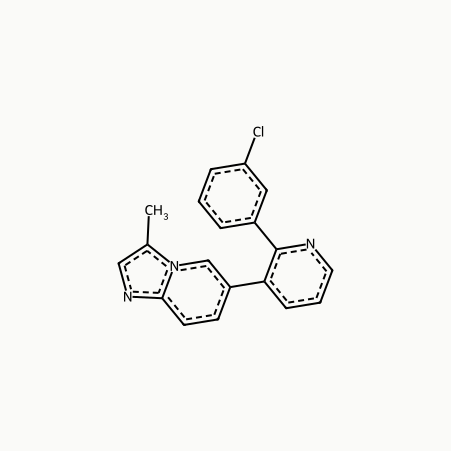 Cc1cnc2ccc(-c3cccnc3-c3cccc(Cl)c3)cn12